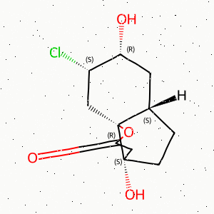 O=C1C[C@@]2(O)CC[C@H]3C[C@@H](O)[C@@H](Cl)C[C@@]32O1